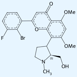 COc1cc(OC)c2c(=O)cc(-c3cccc(F)c3Br)oc2c1C1CCN(C)[C@@H]1CO